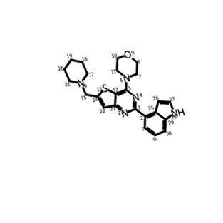 c1cc(-c2nc(N3CCOCC3)c3sc(CN4CCCCC4)cc3n2)c2cc[nH]c2c1